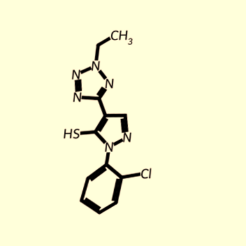 CCn1nnc(-c2cnn(-c3ccccc3Cl)c2S)n1